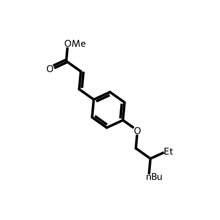 CCCCC(CC)COc1ccc(/C=C/C(=O)OC)cc1